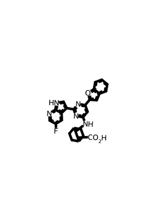 O=C(O)C1C2CCC(CC2)C1Nc1cc(-c2cc3ccccc3o2)nc(-c2c[nH]c3ncc(F)cc23)n1